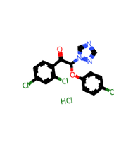 Cl.O=C(c1ccc(Cl)cc1Cl)C(Oc1ccc(Cl)cc1)n1cncn1